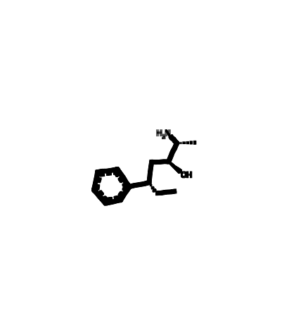 CC[C@@H](C[C@H](O)[C@@H](C)N)c1ccccc1